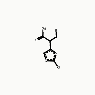 CCC(C(=O)O)c1csc(Cl)n1